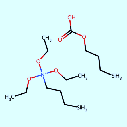 CCO[N+](CCC[SiH3])(OCC)OCC.O=C(O)OCCC[SiH3]